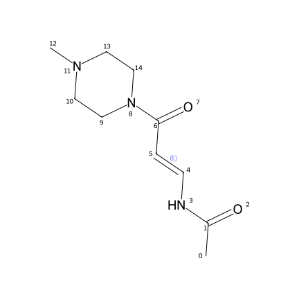 CC(=O)N/C=C/C(=O)N1CCN(C)CC1